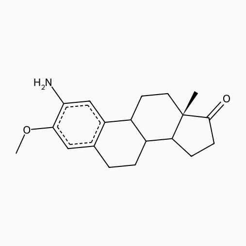 COc1cc2c(cc1N)C1CC[C@]3(C)C(=O)CCC3C1CC2